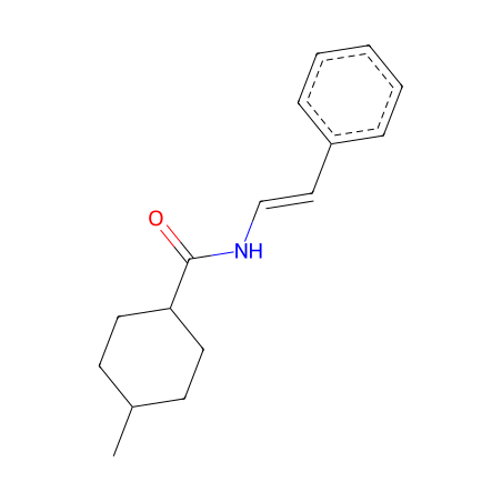 CC1CCC(C(=O)NC=Cc2ccccc2)CC1